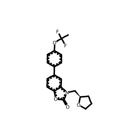 CC(F)(F)Oc1ccc(-c2ccc3oc(=O)n(C[C@H]4CCCO4)c3c2)cc1